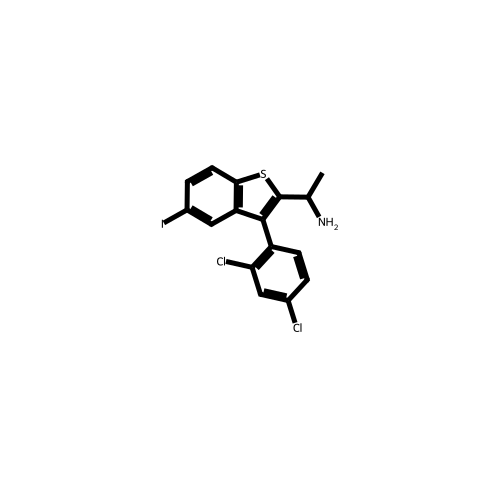 CC(N)c1sc2ccc(I)cc2c1-c1ccc(Cl)cc1Cl